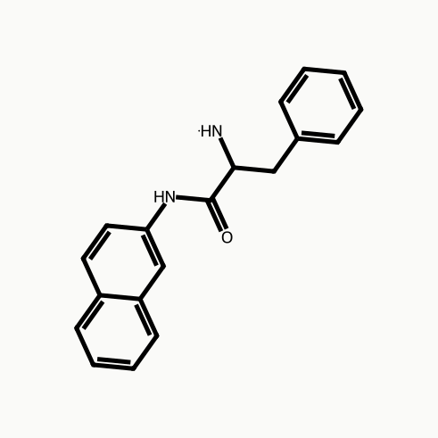 [NH]C(Cc1ccccc1)C(=O)Nc1ccc2ccccc2c1